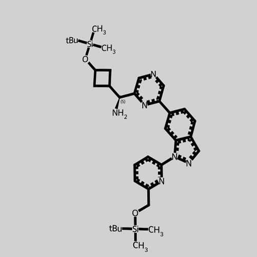 CC(C)(C)[Si](C)(C)OCc1cccc(-n2ncc3ccc(-c4cncc([C@@H](N)C5CC(O[Si](C)(C)C(C)(C)C)C5)n4)cc32)n1